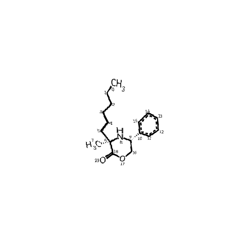 CCCCCC[C@@]1(C)N[C@H](c2ccccc2)COC1=O